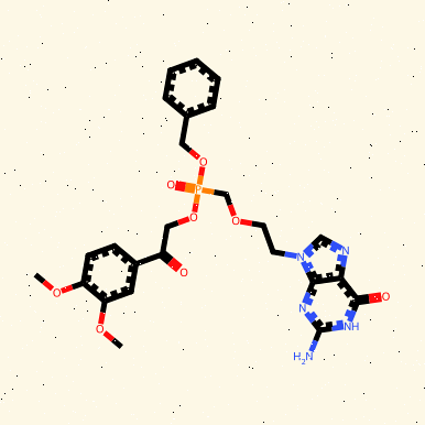 COc1ccc(C(=O)COP(=O)(COCCn2cnc3c(=O)[nH]c(N)nc32)OCc2ccccc2)cc1OC